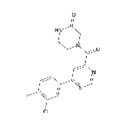 O=C1CN(C(=O)c2cc(-c3ccc(F)c(Cl)c3)ncn2)CCN1